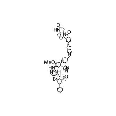 COc1cc(N2CCC(CN3CC4CN(c5ccc6c(c5)C(=O)N(C5CCC(=O)NC5=O)C6=O)CC4C3)CC2)c(-c2cnn(C)c2)cc1Nc1ncc(Br)c(Nc2ccc(-c3ccccc3)cc2P(C)(C)=O)n1